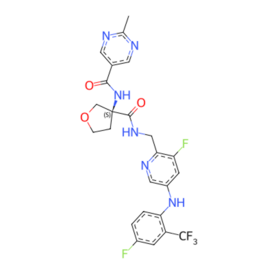 Cc1ncc(C(=O)N[C@@]2(C(=O)NCc3ncc(Nc4ccc(F)cc4C(F)(F)F)cc3F)CCOC2)cn1